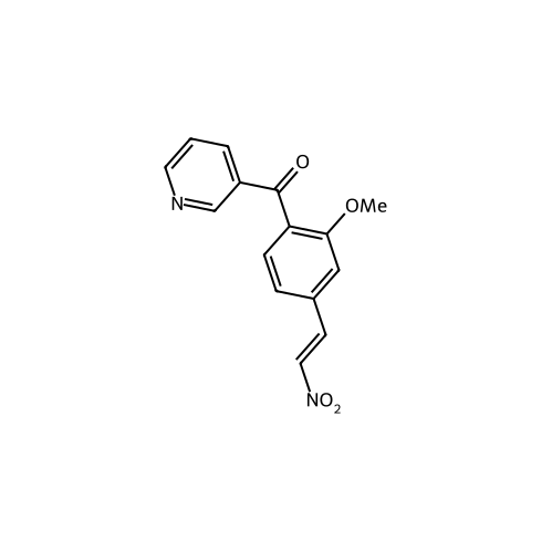 COc1cc(C=C[N+](=O)[O-])ccc1C(=O)c1cccnc1